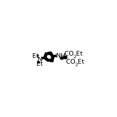 CCOC(=O)C(=CNc1ccc(N(CC)CC)cc1)C(=O)OCC